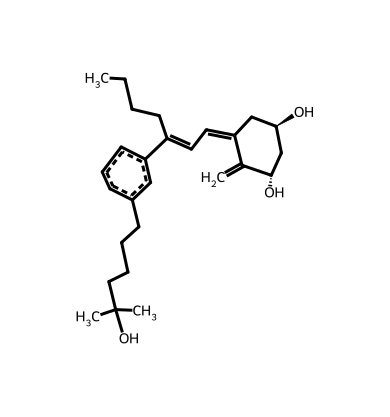 C=C1/C(=C\C=C(/CCCC)c2cccc(CCCCC(C)(C)O)c2)C[C@@H](O)C[C@@H]1O